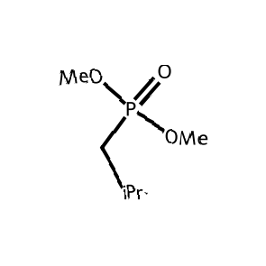 COP(=O)(C[C](C)C)OC